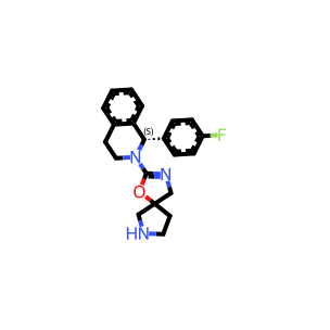 Fc1ccc([C@H]2c3ccccc3CCN2C2=NCC3(CCNC3)O2)cc1